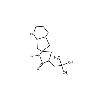 CC(C)N1C(=O)N(CC(C)(C)O)CC12CC1CCCNC1C2